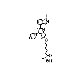 O=C(CCCCCOc1cc2nc(-c3cccc4[nH]ncc34)nc(N3CCOCC3)c2s1)NO